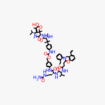 C=Cc1ccccc1CN(C(=O)CCC(=O)N[C@H](C(=O)N[C@@H](CCCNC(N)=O)C(=O)Nc1ccc(COC(=O)Nc2ccc(C(C)(C)C(NC)C(=O)N[C@H](C(=O)N(C)[C@H](/C=C(\C)C(=O)O)C(C)C)C(C)(C)C)cc2)cc1)C(C)C)c1ccccc1CC